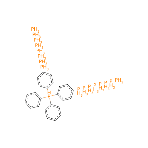 P.P.P.P.P.P.P.P.P.P.P.P.P.P.P.P.c1ccc([PH](c2ccccc2)(c2ccccc2)c2ccccc2)cc1